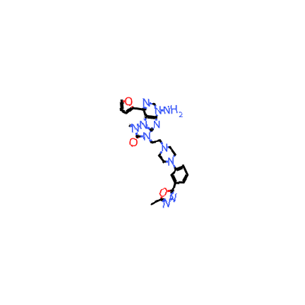 Cc1nnc(-c2cccc(N3CCN(CCn4c(=O)n(C)n5c6c(nc45)N(N)CN=C6c4ccco4)CC3)c2)o1